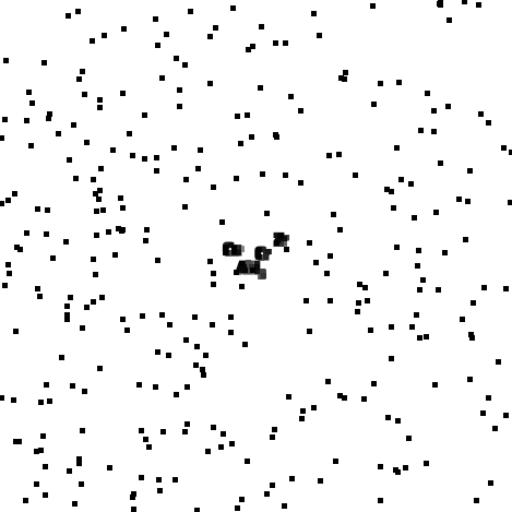 [AlH3].[Cr].[Cu].[Zr]